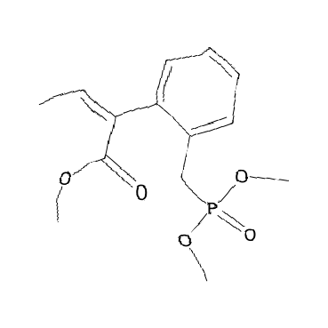 C/C=C(\C(=O)OC)c1ccccc1CP(=O)(OC)OC